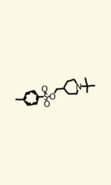 Cc1ccc(S(=O)(=O)OCC2CCN(C(C)(C)C)CC2)cc1